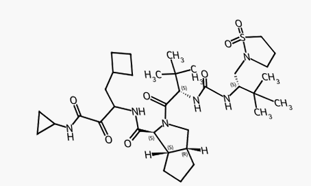 CC(C)(C)[C@H](NC(=O)N[C@H](CN1CCCS1(=O)=O)C(C)(C)C)C(=O)N1C[C@@H]2CCC[C@@H]2[C@H]1C(=O)NC(CC1CCC1)C(=O)C(=O)NC1CC1